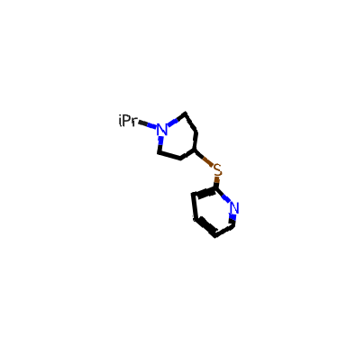 CC(C)N1CCC(Sc2ccccn2)CC1